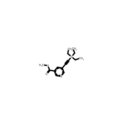 CC[Si](C#Cc1cncc(C(=O)OC)c1)(CC)CC